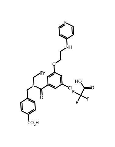 CC(C)CN(Cc1ccc(C(=O)O)cc1)C(=O)c1cc(Cl)cc(OCCNc2ccncc2)c1.O=C(O)C(F)(F)F